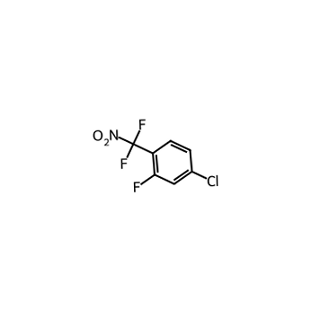 O=[N+]([O-])C(F)(F)c1ccc(Cl)cc1F